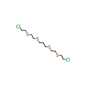 ClCCSCCSCCCSCCSCCCl